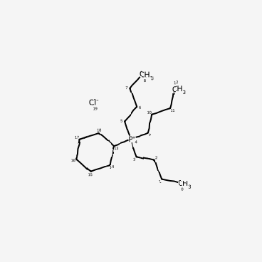 CCCC[P+](CCCC)(CCCC)C1CCCCC1.[Cl-]